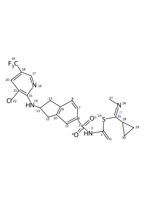 C=C(NS(=O)(=O)c1ccc2c(c1)CC(Nc1ncc(C(F)(F)F)cc1Cl)C2)S/C(=N\C)C1CC1